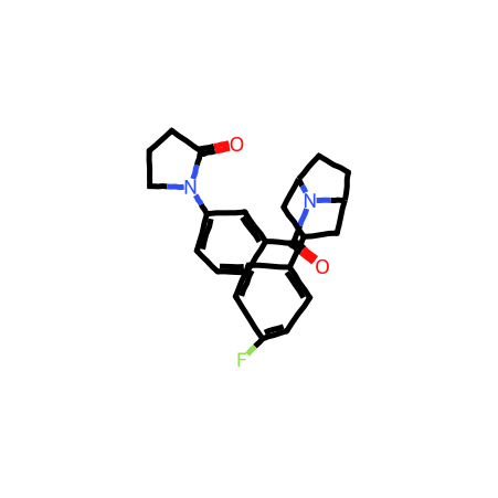 O=C1CCCN1c1cccc(C(=O)N2C3CCC2CC(c2ccc(F)cc2)C3)c1